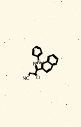 N#CCC(=O)c1nn(-c2ccccc2)c2c1ccc1ccccc12